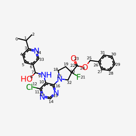 CC(C)c1ccc(C(O)Nc2c(Cl)ncnc2N2CCC(F)(C(=O)OCc3ccccc3)C2)cn1